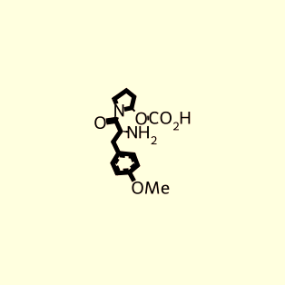 COc1ccc(C[C@@H](N)C(=O)N2CCC[C@@H]2OC(=O)O)cc1